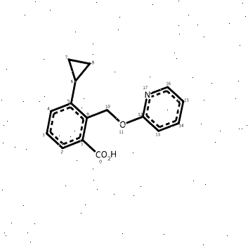 O=C(O)c1cccc(C2CC2)c1COc1ccccn1